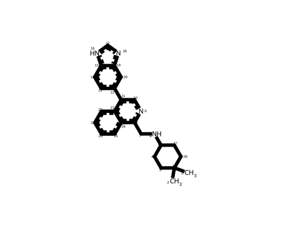 CC1(C)CCC(NCc2ncc(-c3ccc4[nH]cnc4c3)c3ccccc23)CC1